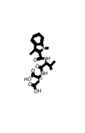 Cc1c(C(=O)N[C@H](C(=O)N[C@@H](CC(=O)O)C(=O)O)C(C)C)n(C)c2ccccc12